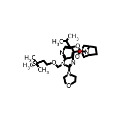 CC(C)COC(=O)N1C2CCC1CN(c1ccnc3c1nc(N1CCOCC1)n3COCC[Si](C)(C)C)C2